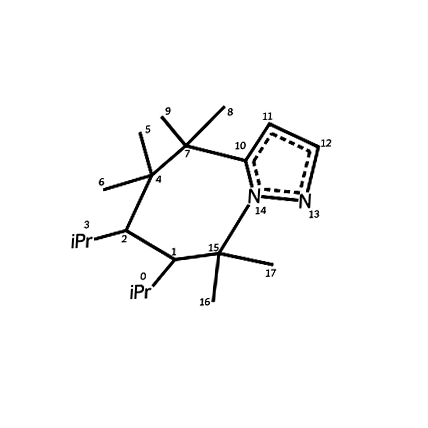 CC(C)C1C(C(C)C)C(C)(C)C(C)(C)c2ccnn2C1(C)C